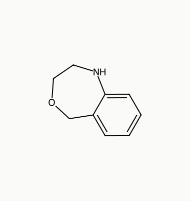 c1ccc2c(c1)COCCN2